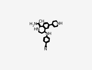 C/C(N)=C1/NCCC(Nc2ccc(C#N)cc2)c2cc(C3=CCNCC3)ccc21